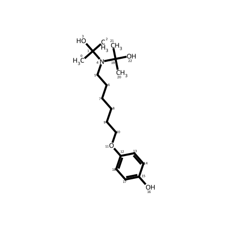 CC(C)(O)N(CCCCCCOc1ccc(O)cc1)C(C)(C)O